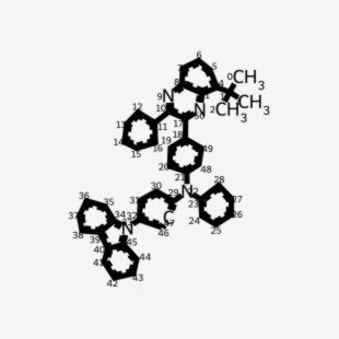 CC(C)(C)c1cccc2nc(-c3ccccc3)c(-c3ccc(N(c4ccccc4)c4ccc(-n5c6ccccc6c6ccccc65)cc4)cc3)nc12